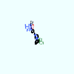 CCNC(=O)N[C@H]1CC[C@H](CCN2CCCN(c3cccc(Cl)c3Cl)CC2)CC1